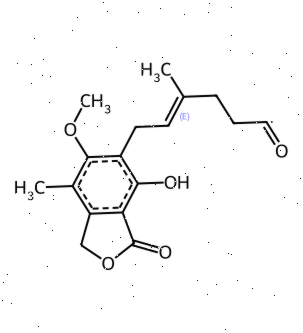 COc1c(C)c2c(c(O)c1C/C=C(\C)CC[C]=O)C(=O)OC2